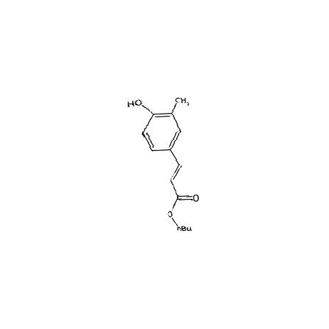 CCCCOC(=O)/C=C/c1ccc(O)c(C)c1